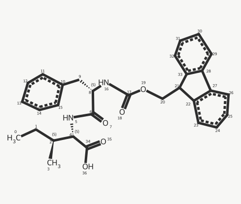 CC[C@H](C)[C@H](NC(=O)[C@H](Cc1ccccc1)NC(=O)OCC1c2ccccc2-c2ccccc21)C(=O)O